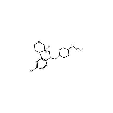 O=C(O)N[C@H]1CC[C@H](CN2C[C@@H]3COCCN3c3nc(Cl)ncc32)CC1